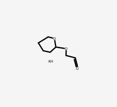 O=CCOC1CCCCO1.[KH]